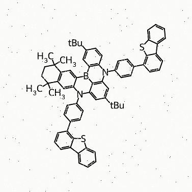 CC(C)(C)c1ccc2c(c1)B1c3cc4c(cc3N(c3ccc(-c5cccc6c5sc5ccccc56)cc3)c3cc(C(C)(C)C)cc(c31)N2c1ccc(-c2cccc3c2sc2ccccc23)cc1)C(C)(C)CCC4(C)C